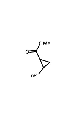 CCCC1CC1C(=O)OC